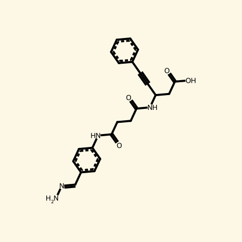 NN=Cc1ccc(NC(=O)CCC(=O)NC(C#Cc2ccccc2)CC(=O)O)cc1